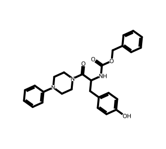 O=C(NC(Cc1ccc(O)cc1)C(=O)N1CCN(c2ccccc2)CC1)OCc1ccccc1